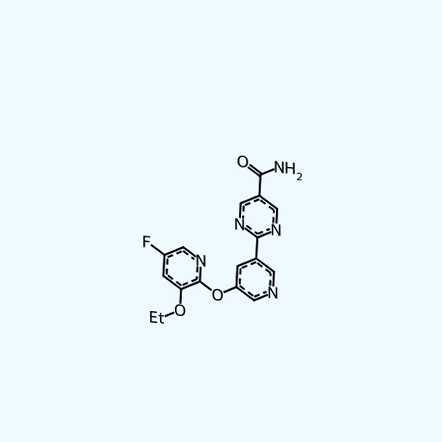 CCOc1cc(F)cnc1Oc1cncc(-c2ncc(C(N)=O)cn2)c1